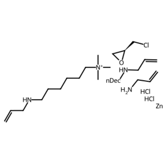 C=CCN.C=CCNCCCCCCCCCC.C=CCNCCCCCC[N+](C)(C)C.Cl.Cl.ClC[C@@H]1CO1.[Zn]